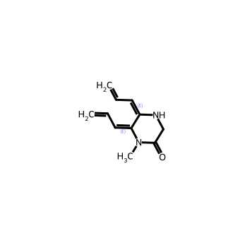 C=C/C=C1/NCC(=O)N(C)/C1=C/C=C